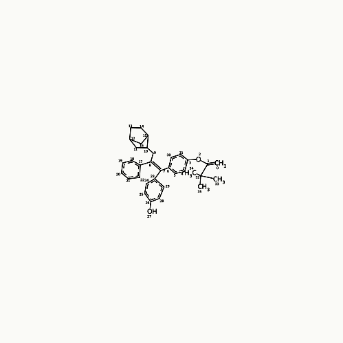 C=C(Oc1ccc(/C(=C(\CC2CC3CCC2C3)c2ccccc2)c2ccc(O)cc2)cc1)C(C)(C)C